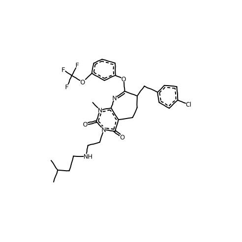 CC(C)CCNCCn1c(=O)c2c(n(C)c1=O)N=C(Oc1cccc(OC(F)(F)F)c1)C(Cc1ccc(Cl)cc1)CC2